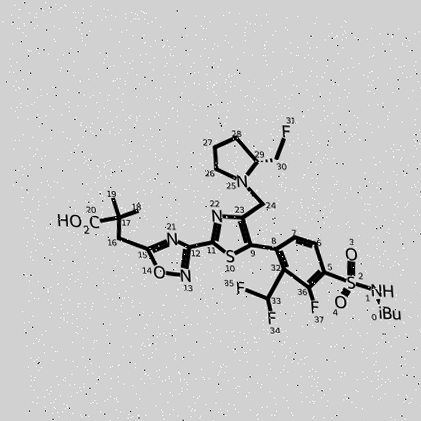 CC[C@@H](C)NS(=O)(=O)c1ccc(-c2sc(-c3noc(CC(C)(C)C(=O)O)n3)nc2CN2CCC[C@@H]2CF)c(C(F)F)c1F